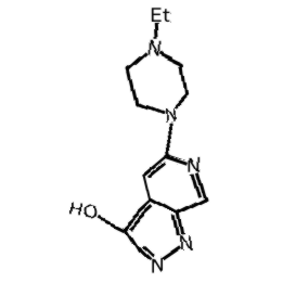 CCN1CCN(c2cc3c(O)cnnc3cn2)CC1